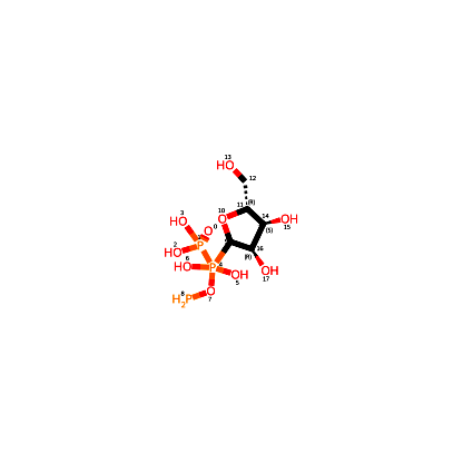 O=P(O)(O)P(O)(O)(OP)C1O[C@H](CO)[C@@H](O)[C@H]1O